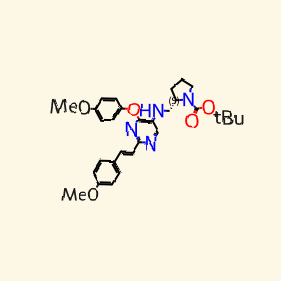 COc1ccc(C=Cc2ncc(NC[C@@H]3CCCN3C(=O)OC(C)(C)C)c(Oc3ccc(OC)cc3)n2)cc1